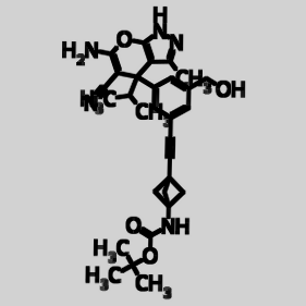 Cc1n[nH]c2c1C(c1cc(C#CC34CC(NC(=O)OC(C)(C)C)(C3)C4)cc(CO)c1)(C(C)C)C(C#N)=C(N)O2